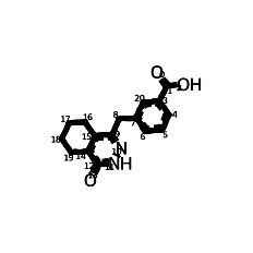 O=C(O)c1cccc(Cc2n[nH]c(=O)c3c2CCCC3)c1